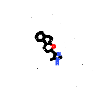 Cc1[nH]cnc1C1CCc2c(ccc3ccccc23)O1